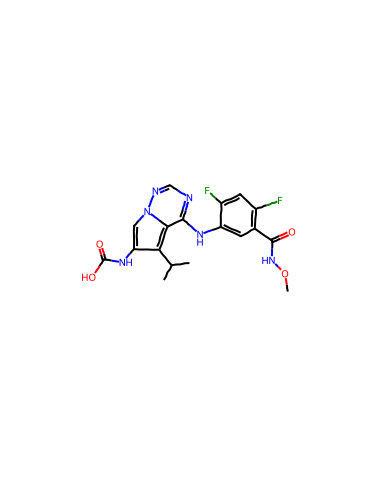 CONC(=O)c1cc(Nc2ncnn3cc(NC(=O)O)c(C(C)C)c23)c(F)cc1F